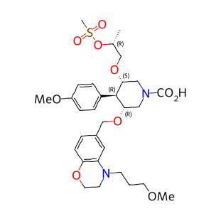 COCCCN1CCOc2ccc(CO[C@H]3CN(C(=O)O)C[C@@H](OC[C@@H](C)OS(C)(=O)=O)[C@@H]3c3ccc(OC)cc3)cc21